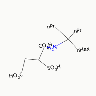 CCCCCCC(N)(CCC)CCC.O=C(O)CC(C(=O)O)S(=O)(=O)O